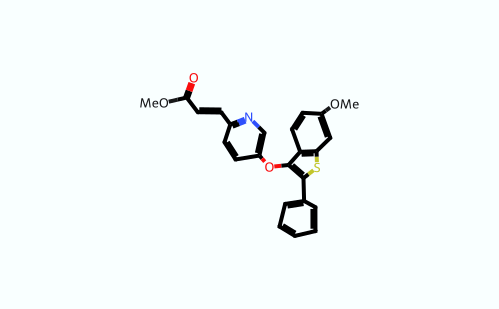 COC(=O)/C=C/c1ccc(Oc2c(-c3ccccc3)sc3cc(OC)ccc23)cn1